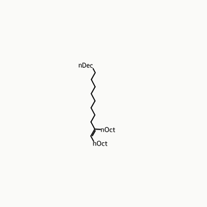 [CH2]CCCCCCC/C(=C\CCCCCCCC)CCCCCCCCCCCCCCCCCC